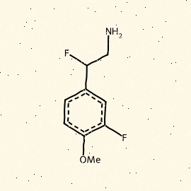 COc1ccc(C(F)CN)cc1F